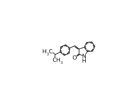 CC(C)c1ccc(C=C2C(=O)Nc3ccccc32)cc1